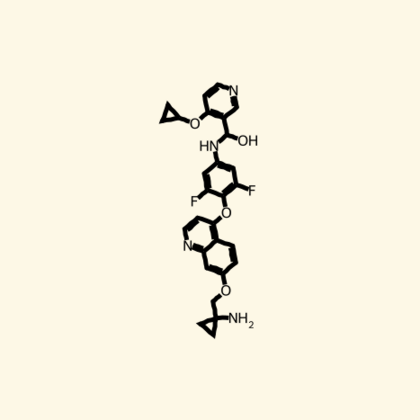 NC1(COc2ccc3c(Oc4c(F)cc(NC(O)c5cnccc5OC5CC5)cc4F)ccnc3c2)CC1